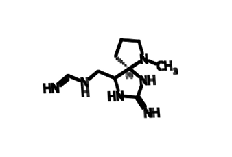 CN1CCC[C@@]12NC(=N)NC2CNC=N